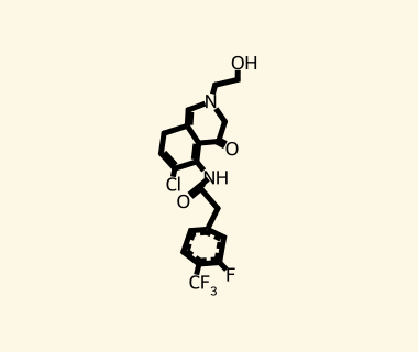 O=C(Cc1ccc(C(F)(F)F)c(F)c1)NC1=C2C(=O)CN(CCO)C=C2CC=C1Cl